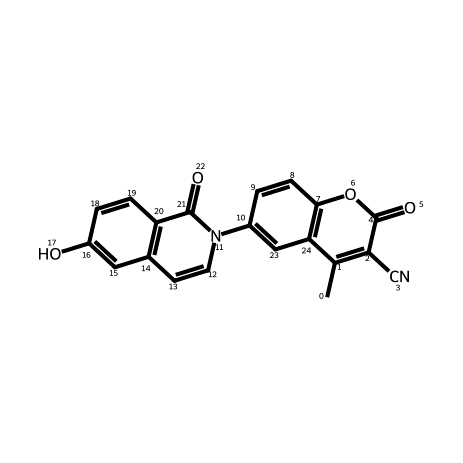 Cc1c(C#N)c(=O)oc2ccc(-n3ccc4cc(O)ccc4c3=O)cc12